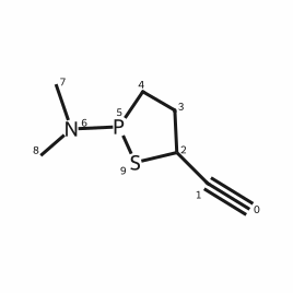 C#CC1CCP(N(C)C)S1